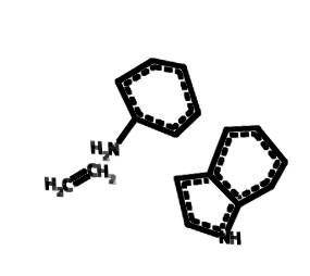 C=C.Nc1ccccc1.c1ccc2[nH]ccc2c1